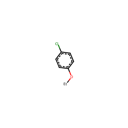 CCOc1[c]cc(Cl)cc1